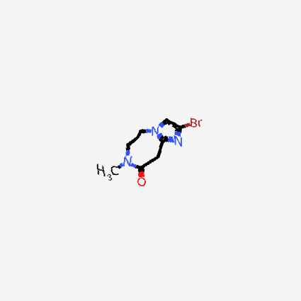 CN1CCn2cc(Br)nc2CC1=O